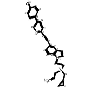 C=CCN(CCn1ccc2cc(C#Cc3ccc(-c4ccc(Cl)cc4)cn3)ccc21)CC1CC1